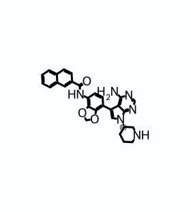 Nc1ncnc2c1c(-c1ccc(NC(=O)c3ccc4ccccc4c3)c3c1OCO3)cn2[C@@H]1CCCNC1